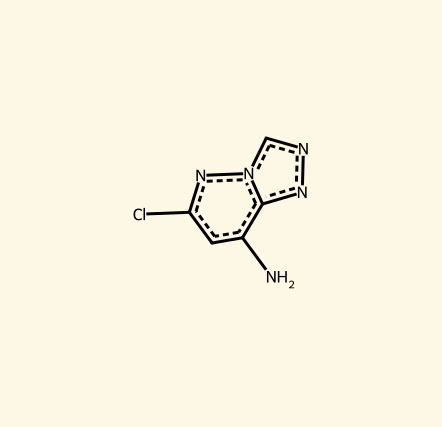 Nc1cc(Cl)nn2cnnc12